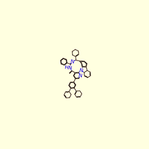 C=C1N/C(c2ccccc2)=N\C(C2=CCCCC2)c2ccc3c(c2)N(c2ncc(-c4ccc(C5=CC=CCC5)c(C5=CC=CCC5)c4)cc21)C1C=CC=CC31